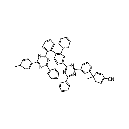 CC1C=CC(c2nc(-c3ccccc3)nc(-c3ccccc3-c3ccc(-c4nc(-c5ccccc5)nc(-c5cccc(C6(C)C=CC(C#N)=CC6)c5)n4)cc3-c3ccccc3)n2)=CC1